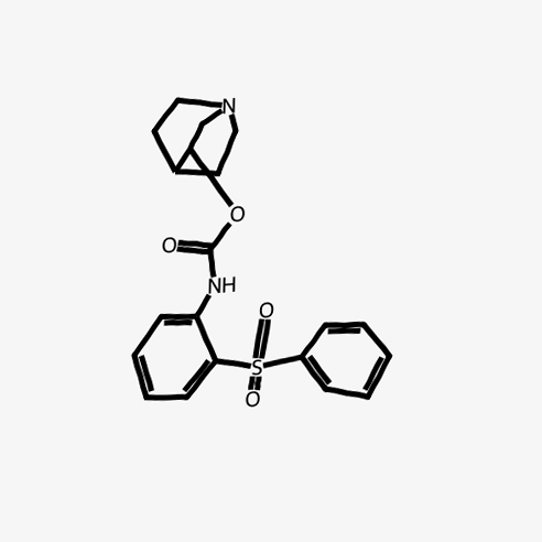 O=C(Nc1ccccc1S(=O)(=O)c1ccccc1)OC1CN2CCC1CC2